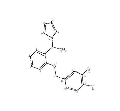 CC(c1ccccc1OCc1ccc(Cl)c(Cl)c1)n1ccnc1